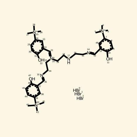 Br.Br.Br.C[N+](C)(C)c1ccc(O)c(C=NCCNCC[N+](=Cc2cc([N+](C)(C)C)ccc2O)CCN=Cc2cc([N+](C)(C)C)ccc2O)c1